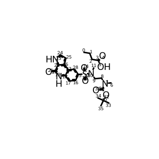 CCCC(=O)O.CN(CCN(C)S(=O)(=O)c1ccc2[nH]c(=O)c3[nH]ccc3c2c1)C(=O)OC(C)(C)C